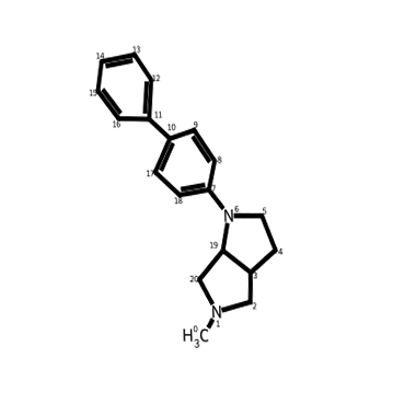 CN1CC2CCN(c3ccc(-c4ccccc4)cc3)C2C1